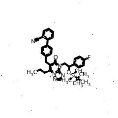 CCCc1c(Cc2ccc(-c3ccccc3C#N)cc2)c(=O)n(CC(O[Si](C)(C)C(C)(C)C)c2ccc(F)cc2)c2ncnn12